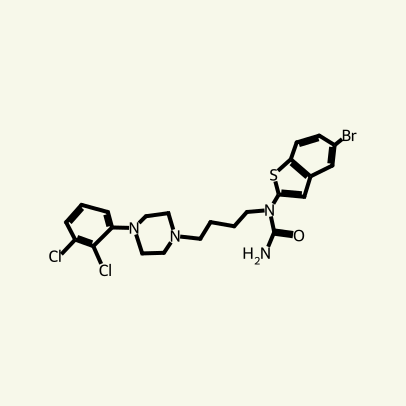 NC(=O)N(CCCCN1CCN(c2cccc(Cl)c2Cl)CC1)c1cc2cc(Br)ccc2s1